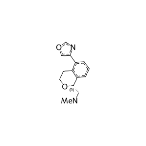 CNC[C@@H]1OCCc2c(-c3cocn3)cccc21